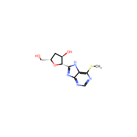 CSc1ncnc2nc([C@@H]3O[C@H](CO)C[C@H]3O)[nH]c12